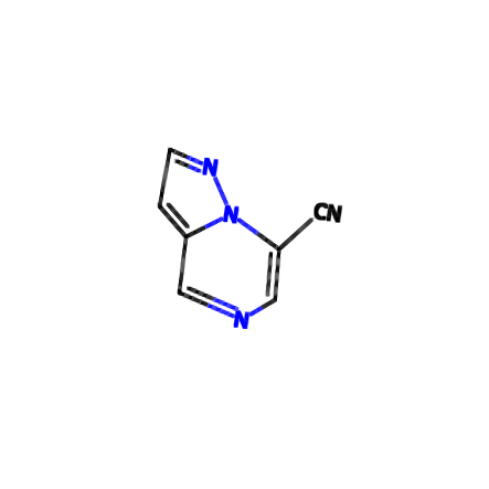 N#Cc1cncc2ccnn12